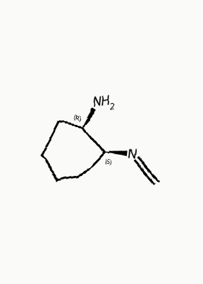 C=N[C@H]1CCCC[C@H]1N